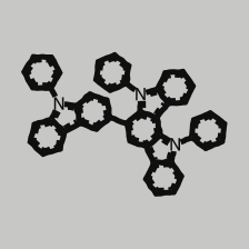 c1ccc(-n2c3ccccc3c3cc(-c4cc5c6ccccc6n(-c6ccccc6)c5c5c6ccccc6n(-c6ccccc6)c45)ccc32)cc1